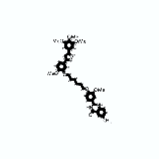 COc1cc(C2NC(=O)c3cc(C)ccc3N2)ccc1OCCCCCCOc1cc(C2CC(c3cc(OC)c(OC)c(OC)c3)=NO2)ccc1OC